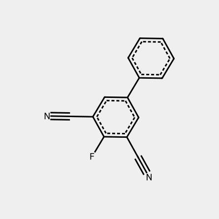 N#Cc1cc(-c2ccccc2)cc(C#N)c1F